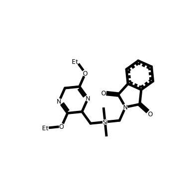 CCOC1=NC(C[Si](C)(C)CN2C(=O)c3ccccc3C2=O)C(OCC)=NC1